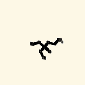 CCOP(=O)(OCC)OCC(F)(F)F